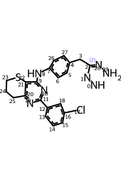 N=N/C(Cc1ccc(Nc2nc(-c3cccc(Cl)c3)nc3c2SCCC3)cc1)=N\N